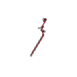 COC(C[C@@H]1CC[C@@H](C)C(C=O)O1)/C(C)=C/C=C/C=C/C(C)CC(C)C(=O)CC(O)/C(C)=C/C(C)C(=O)CC(CCC1CCC(OCCOCCOCCOCCOCCOCCOCCOCCOCCOCCOCCC=O)CC1)OC=O